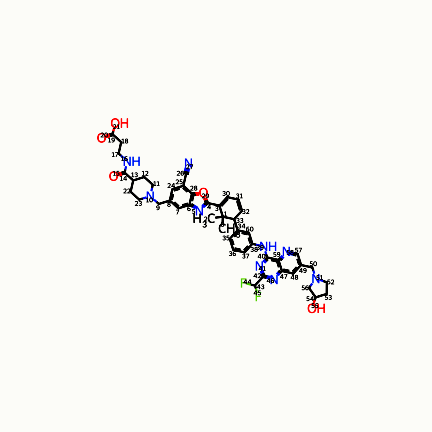 CC1(C)C(c2nc3cc(CN4CCC(C(=O)NCCC(=O)O)CC4)cc(C#N)c3o2)=CC=CC1c1cccc(Nc2nc(C(F)F)nc3cc(CN4CCC(O)C4)cnc23)c1